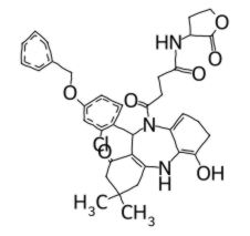 CC1(C)CC(=O)C2=C(C1)NC1=C(O)CCC=C1N(C(=O)CCC(=O)NC1CCOC1=O)C2c1ccc(OCc2ccccc2)cc1Cl